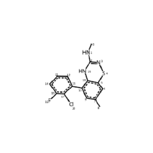 CNC1=NSc2cc(C)cc(-c3cccc(F)c3Cl)c2N1